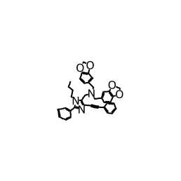 CCCCn1c(-c2ccccc2)nc(C#Cc2ccccc2)c1CN(Cc1ccc2c(c1)OCO2)Cc1ccc2c(c1)OCO2